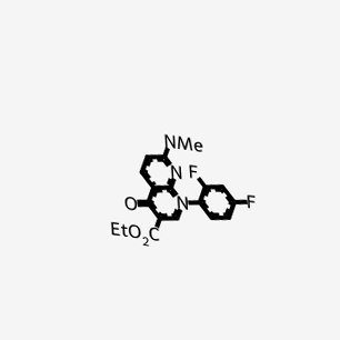 CCOC(=O)c1cn(-c2ccc(F)cc2F)c2nc(NC)ccc2c1=O